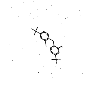 CC(C)(C)c1ccc(Cc2ccc(C(C)(C)C)cc2I)c(I)c1